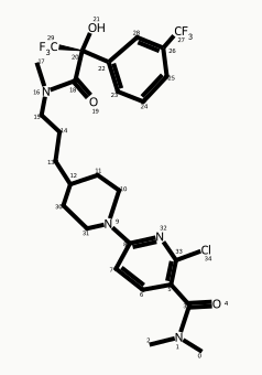 CN(C)C(=O)c1ccc(N2CCC(CCCN(C)C(=O)[C@](O)(c3cccc(C(F)(F)F)c3)C(F)(F)F)CC2)nc1Cl